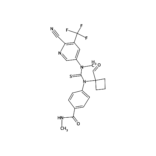 CNC(=O)c1ccc(N(C(=S)N(C)c2cnc(C#N)c(C(F)(F)F)c2)C2(C=O)CCC2)cc1